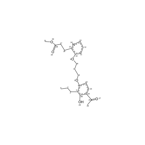 CCCc1c(OCCCOc2cccnc2CCC(=O)OC)ccc(C(C)=O)c1O